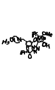 COc1cc(O)c(-c2nnc(C(=O)NC(C)C)n2-c2ccc(CN3CCN(C)CC3)cc2OC)cc1C(C)C